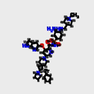 CC(C)c1ccccc1[C@@H]1CCCN1C1CC2(CCN(c3cnc(C(=O)NS(=O)(=O)c4ccc(NCC5CCN(C)CC5)c(N)c4)c(Oc4cnc5[nH]ccc5c4)c3)CC2)C1